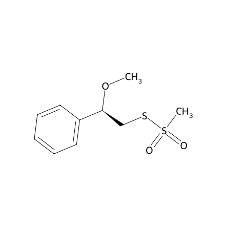 CO[C@@H](CSS(C)(=O)=O)c1ccccc1